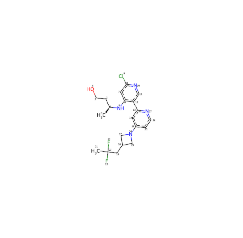 C[C@@H](CCO)Nc1cc(Cl)ncc1-c1cc(N2CC(CC(C)(F)F)C2)ccn1